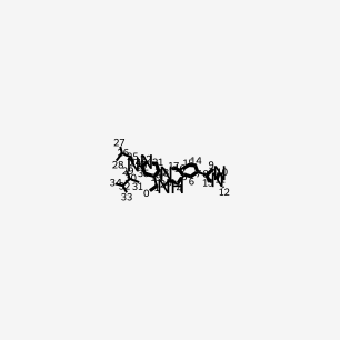 C=C(Nc1cc2cc(-c3cnn(C)c3)ccc2cn1)c1ccnc(N(CC(C)C)CC(C)C(C)C)c1